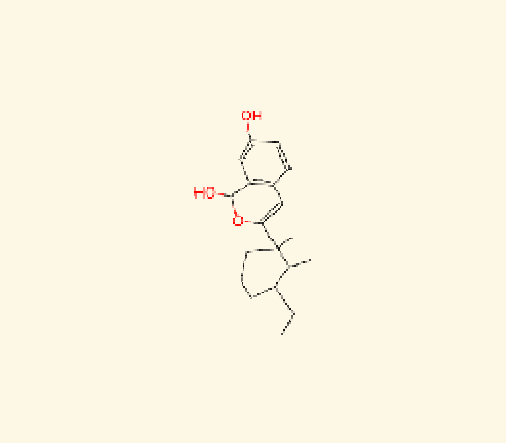 CCC1CCCC(C)(C2=Cc3ccc(O)cc3C(O)O2)C1C